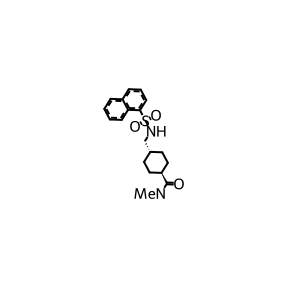 CNC(=O)[C@H]1CC[C@H](CNS(=O)(=O)c2cccc3ccccc23)CC1